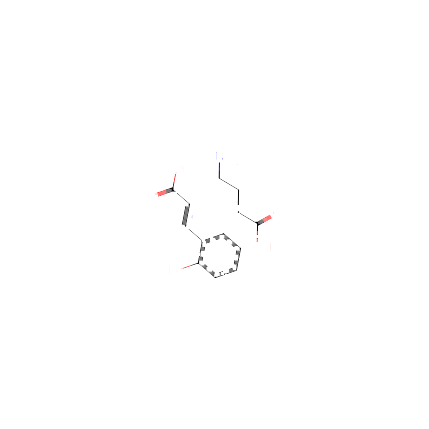 NCCCC(=O)O.O=C(O)/C=C/c1ccccc1O